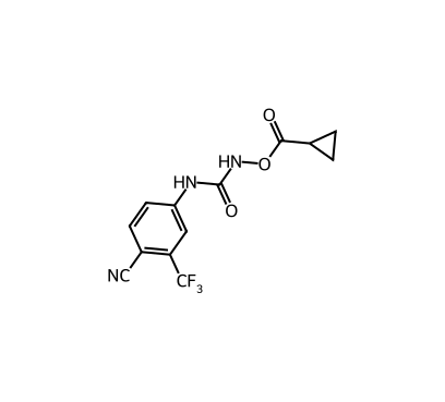 N#Cc1ccc(NC(=O)NOC(=O)C2CC2)cc1C(F)(F)F